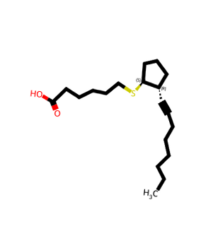 CCCCCCC#C[C@H]1CCC[C@@H]1SCCCCCC(=O)O